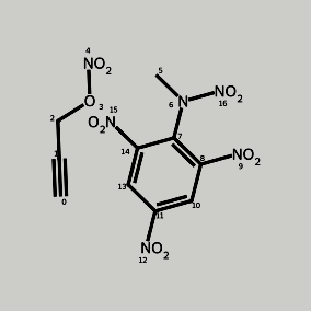 C#CCO[N+](=O)[O-].CN(c1c([N+](=O)[O-])cc([N+](=O)[O-])cc1[N+](=O)[O-])[N+](=O)[O-]